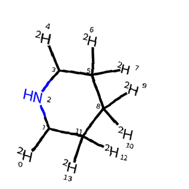 [2H]C1NC([2H])C([2H])([2H])C([2H])([2H])C1([2H])[2H]